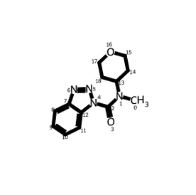 CN(C(=O)n1nnc2ccccc21)C1CCOCC1